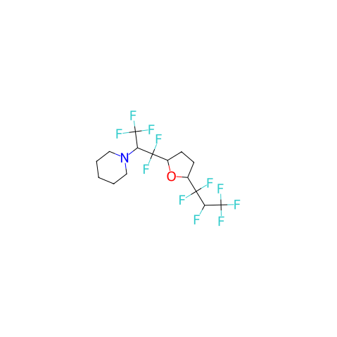 FC(C(F)(F)F)C(F)(F)C1CCC(C(F)(F)C(N2CCCCC2)C(F)(F)F)O1